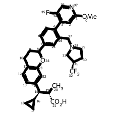 COc1cc(-c2ccc(C3CCc4ccc([C@H](C5CC5)[C@H](C)C(=O)O)cc4O3)cc2CN2CC[C@@H](C(F)(F)F)C2)c(F)cn1